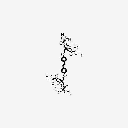 C=C(C)C(=O)OCC(CC)(CCOc1ccc(/C=C/c2ccc(OCCC(CC)(COC(=O)C(=C)C)COC(=O)C(=C)C)cc2)cc1)COC(=O)C(=C)C